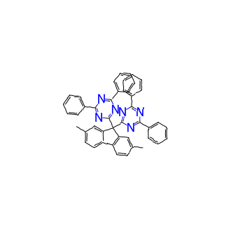 Cc1ccc2c(c1)C(c1nc(-c3ccccc3)nc(-c3ccccc3)n1)(c1nc(-c3ccccc3)nc(-c3ccccc3)n1)c1cc(C)ccc1-2